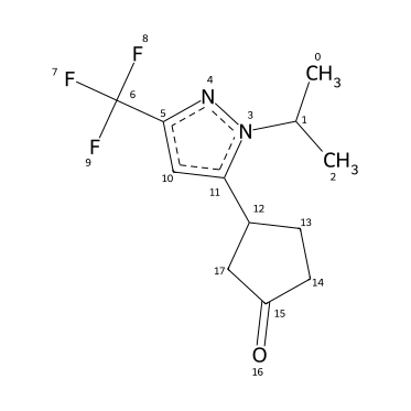 CC(C)n1nc(C(F)(F)F)cc1C1CCC(=O)C1